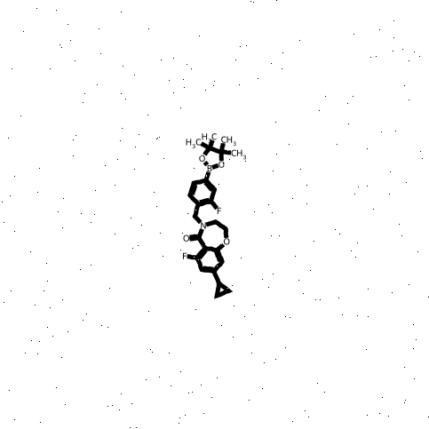 CC1(C)OB(c2ccc(CN3CCOc4cc(C5CC5)cc(F)c4C3=O)c(F)c2)OC1(C)C